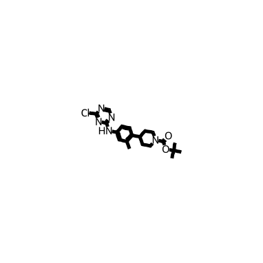 Cc1cc(Nc2ncnc(Cl)n2)ccc1C1CCN(C(=O)OC(C)(C)C)CC1